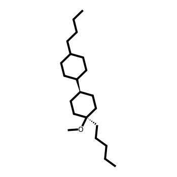 CCCCC[C@]1(OC)CC[C@@H](C2CCC(CCCC)CC2)CC1